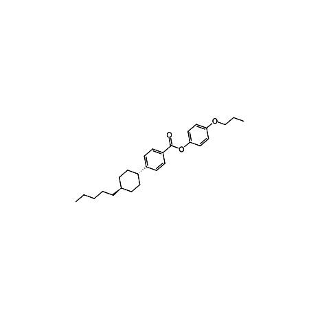 CCCCC[C@H]1CC[C@H](c2ccc(C(=O)Oc3ccc(OCCC)cc3)cc2)CC1